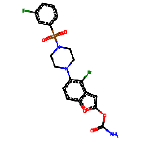 NC(=O)Oc1cc2c(Br)c(N3CCN(S(=O)(=O)c4cccc(F)c4)CC3)ccc2o1